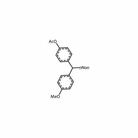 CCCCCCCCCC(c1ccc(OC)cc1)c1ccc(OC(C)=O)cc1